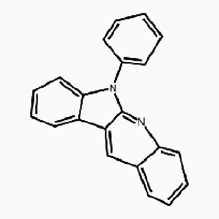 c1ccc(-n2c3ccccc3c3cc4ccccc4nc32)cc1